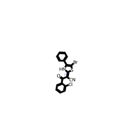 N#C/C(C(=O)c1ccccc1Cl)=C1/NC(c2ccccc2)=C(Br)S1